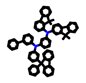 CC1(C)c2ccccc2-c2ccc(N(c3cccc(N(c4cccc(-c5ccccc5)c4)c4cccc(C5(c6ccccc6)c6ccccc6-c6ccccc65)c4)c3)c3cccc4c3C(C)(C)c3ccccc3-4)cc21